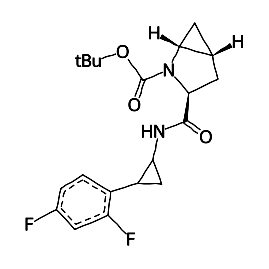 CC(C)(C)OC(=O)N1[C@@H]2C[C@@H]2C[C@H]1C(=O)NC1CC1c1ccc(F)cc1F